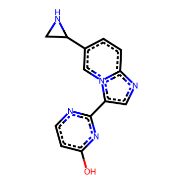 Oc1ccnc(-c2cnc3ccc(C4CN4)cn23)n1